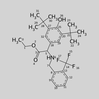 CCOC(=O)C(NCc1ccccc1C(F)(F)F)c1cc(C(C)(C)C)c(O)c(C(C)(C)C)c1